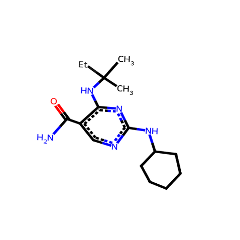 CCC(C)(C)Nc1nc(NC2CCCCC2)ncc1C(N)=O